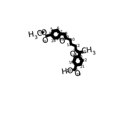 COC(=O)c1ccc2cc(CCCc3oc4cc(C(=O)O)ccc4c3C)oc2c1